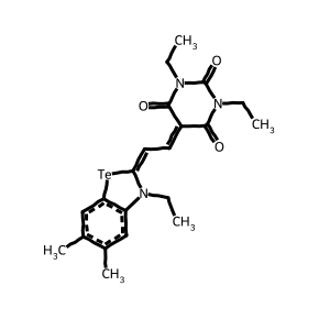 CCN1C(=O)C(=CC=C2[Te]c3cc(C)c(C)cc3N2CC)C(=O)N(CC)C1=O